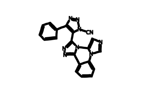 N#Cn1nnc(-c2ccccc2)c1-c1nnc2c3ccccc3n3cncc3n12